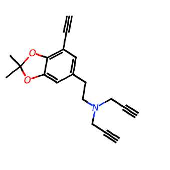 C#CCN(CC#C)CCc1cc(C#C)c2c(c1)OC(C)(C)O2